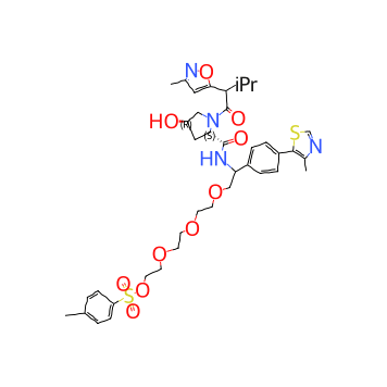 Cc1ccc(S(=O)(=O)OCCOCCOCCOCC(NC(=O)[C@@H]2C[C@@H](O)CN2C(=O)C(c2cc(C)no2)C(C)C)c2ccc(-c3scnc3C)cc2)cc1